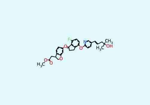 COC(=O)CC1COc2cc(O[C@@H]3CCc4c(Oc5ccc(C=CCC(C)(C)O)cn5)ccc(F)c43)ccc21